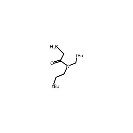 BCC(=O)N(CCC(C)(C)C)CC(C)(C)C